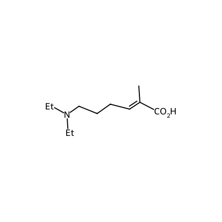 CCN(CC)CCCC=C(C)C(=O)O